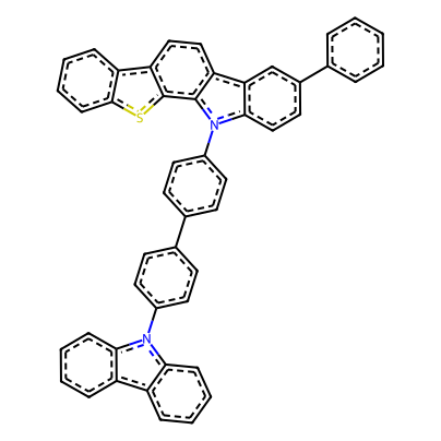 c1ccc(-c2ccc3c(c2)c2ccc4c5ccccc5sc4c2n3-c2ccc(-c3ccc(-n4c5ccccc5c5ccccc54)cc3)cc2)cc1